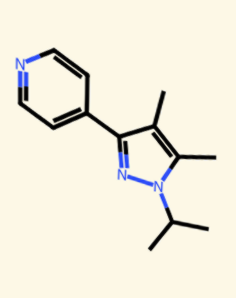 Cc1c(-c2ccncc2)nn(C(C)C)c1C